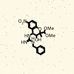 COC(OC)C1(C)Oc2ccc([N+](=O)[O-])cc2C(NC(=N)NCc2ccccc2)C1O